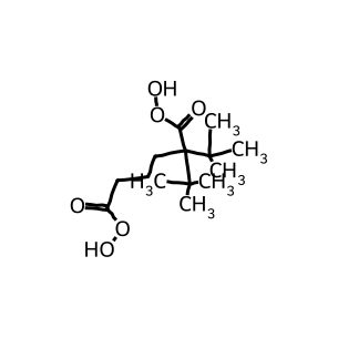 CC(C)(C)C(CCCC(=O)OO)(C(=O)OO)C(C)(C)C